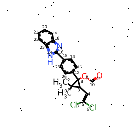 CC1(C)C(C=C(Cl)Cl)C1(OC=O)c1ccc(-c2nc3ccccc3[nH]2)cc1